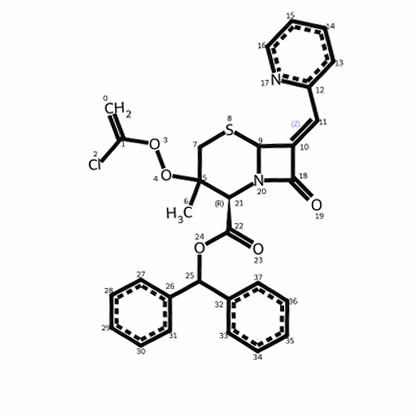 C=C(Cl)OOC1(C)CSC2/C(=C\c3ccccn3)C(=O)N2[C@H]1C(=O)OC(c1ccccc1)c1ccccc1